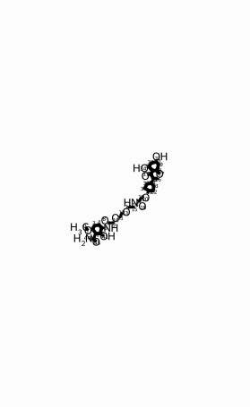 COc1ccc(NC(=O)COCCOCCNC(=O)COc2ccc(-c3coc4cc(O)cc(O)c4c3=O)cc2)c(O)c1C(N)=O